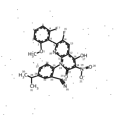 COc1cccc(F)c1-c1nc2c(cc1F)c(O)c([N+](=O)[O-])c(=O)n2-c1ccc(C(C)C)cc1C#N